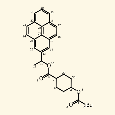 CCC(C)C(=O)OC1CCC(C(=O)OC(C)c2cc3ccc4cccc5ccc(c2)c3c45)CC1